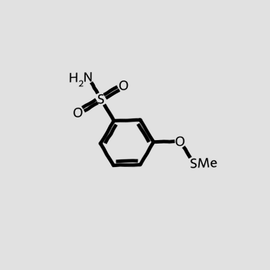 CSOc1cccc(S(N)(=O)=O)c1